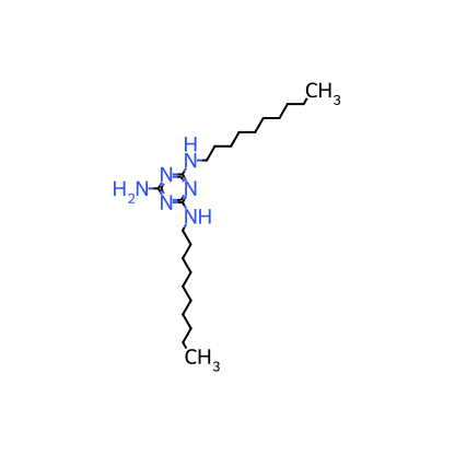 CCCCCCCCCCNc1nc(N)nc(NCCCCCCCCCC)n1